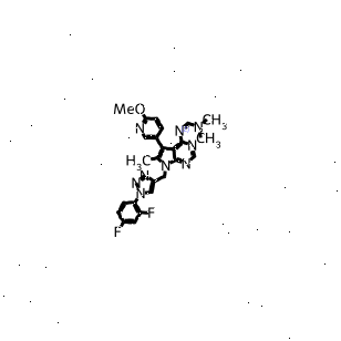 COc1ccc(-c2c(C)n(Cc3cn(-c4ccc(F)cc4F)nn3)c3ncnc(/N=C\N(C)C)c23)cn1